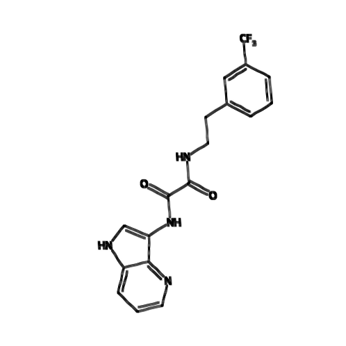 O=C(NCCc1cccc(C(F)(F)F)c1)C(=O)Nc1c[nH]c2cccnc12